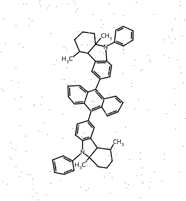 CC1CCCC2(C)C1c1cc(-c3c4ccccc4c(-c4ccc5c(c4)C4C(C)CCCC4(C)N5c4ccccc4)c4ccccc34)ccc1N2c1ccccc1